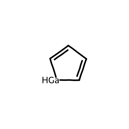 C1=[CH][GaH][CH]=C1